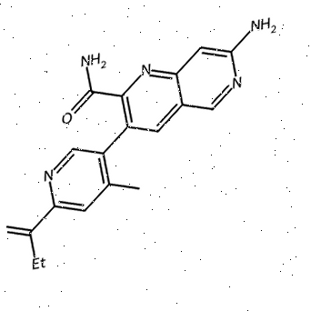 CCC(=O)c1cc(C)c(-c2cc3cnc(N)cc3nc2C(N)=O)cn1